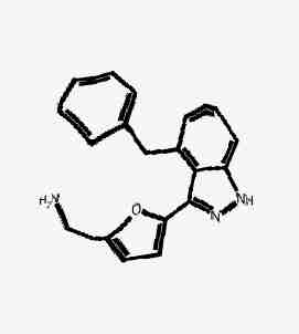 NCc1ccc(-c2n[nH]c3cccc(Cc4ccccc4)c23)o1